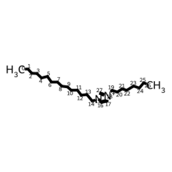 CCCCCCCCCCCCCCCn1cc[n+](CCCCCCCC)c1